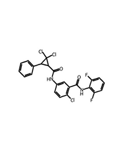 O=C(Nc1c(F)cccc1F)c1cc(NC(=O)C2C(c3ccccc3)C2(Cl)Cl)ccc1Cl